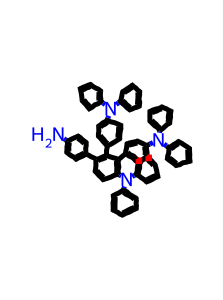 Nc1ccc(-c2ccc(N(c3ccccc3)c3ccccc3)c(-c3ccc(N(c4ccccc4)c4ccccc4)cc3)c2-c2ccc(N(c3ccccc3)c3ccccc3)cc2)cc1